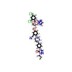 CCC(C)n1ncn(-c2ccc(N3CCN(c4ccc(OC[C@@H]5CO[C@@](Cn6nccn6)(c6ccc(Cl)cc6Cl)O5)cc4C#N)CC3)cc2)c1=O